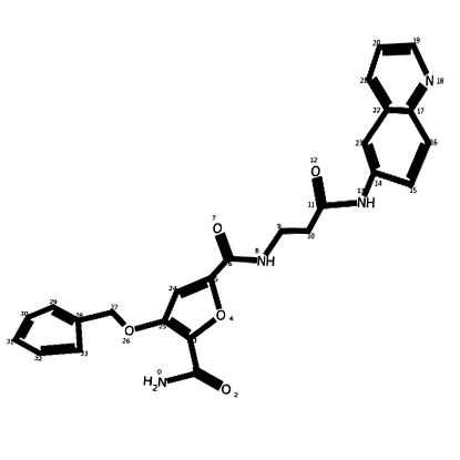 NC(=O)c1oc(C(=O)NCCC(=O)Nc2ccc3ncccc3c2)cc1OCc1ccccc1